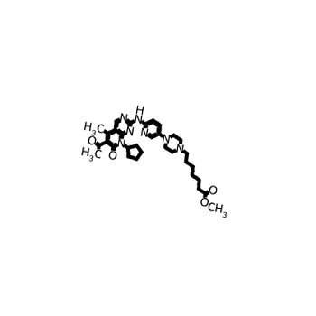 COC(=O)CCCCCCN1CCN(c2ccc(Nc3ncc4c(C)c(C(C)=O)c(=O)n(C5CCCC5)c4n3)nc2)CC1